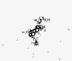 C=C(C)[C@@H]1CC[C@]2(CCOC(=O)c3nnn[nH]3)CC[C@]3(C)[C@H](CC[C@@H]4[C@@]5(C)CC[C@H](OC(=O)CC(C)(C)C(=O)O)C(C)(C)[C@@H]5CC[C@]43C)[C@@H]12